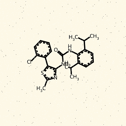 Cc1nc(NC(=O)Nc2c(C(C)C)cccc2C(C)C)c(-c2ccccc2Cl)s1